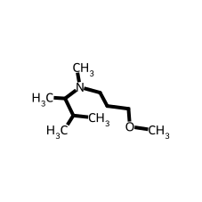 COCCCN(C)C(C)C(C)C